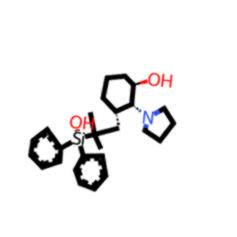 CC(C)(C[C@@H]1CCC[C@@H](O)[C@@H]1N1CCCC1)[Si](O)(c1ccccc1)c1ccccc1